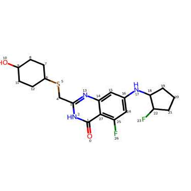 O=c1[nH]c(CSC2CCC(O)CC2)nc2cc(NC3CCCC3F)cc(F)c12